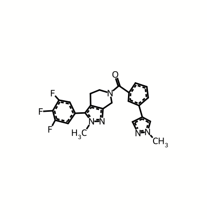 Cn1cc(-c2cccc(C(=O)N3CCc4c(nn(C)c4-c4cc(F)c(F)c(F)c4)C3)c2)cn1